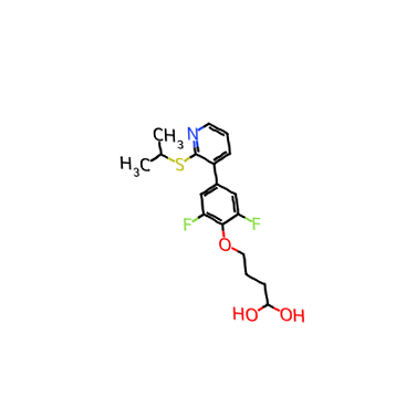 CC(C)Sc1ncccc1-c1cc(F)c(OCCCC(O)O)c(F)c1